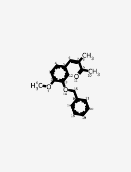 COc1ccc(C=C(C)C(C)=O)cc1OCc1ccccc1